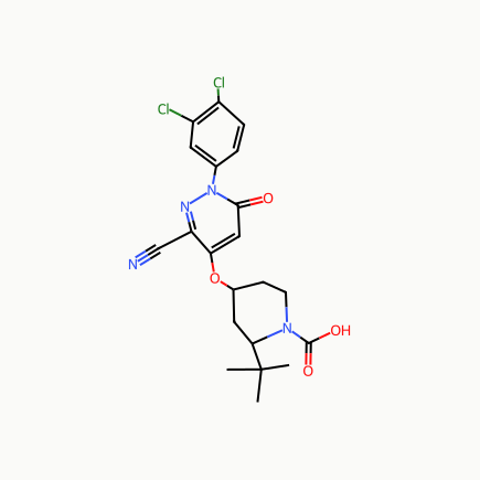 CC(C)(C)C1CC(Oc2cc(=O)n(-c3ccc(Cl)c(Cl)c3)nc2C#N)CCN1C(=O)O